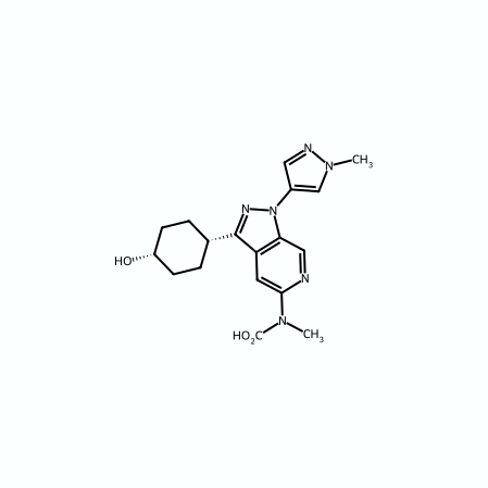 CN(C(=O)O)c1cc2c(cn1)n(-c1cnn(C)c1)nc2[C@H]1CC[C@@H](O)CC1